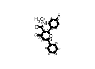 CNC(=O)c1c(-c2ccc(F)cc2)oc(-c2ccccc2)cc1=O